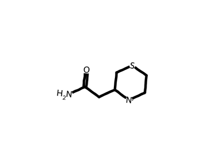 NC(=O)CC1CSCC[N]1